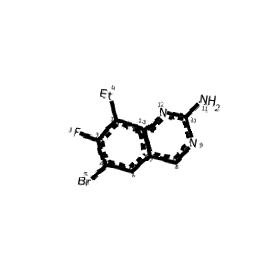 CCc1c(F)c(Br)cc2cnc(N)nc12